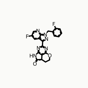 CC12CCOc3nc(-c4nn(Cc5ccccc5F)c5ncc(F)cc45)nc(c31)NC2=O